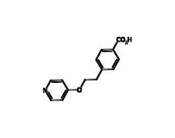 O=C(O)c1ccc(CCOc2ccncc2)cc1